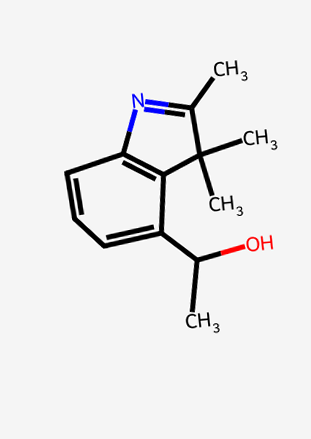 CC1=Nc2cccc(C(C)O)c2C1(C)C